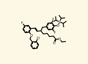 CCOC(=O)CCCCC(C=Cc1cc(F)ccc1OCc1ccccc1Cl)Cc1cc(F)c(O[Si](C(C)C)(C(C)C)C(C)C)c(F)c1